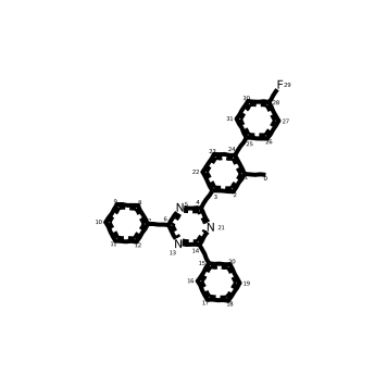 Cc1cc(-c2nc(-c3ccccc3)nc(-c3ccccc3)n2)ccc1-c1ccc(F)cc1